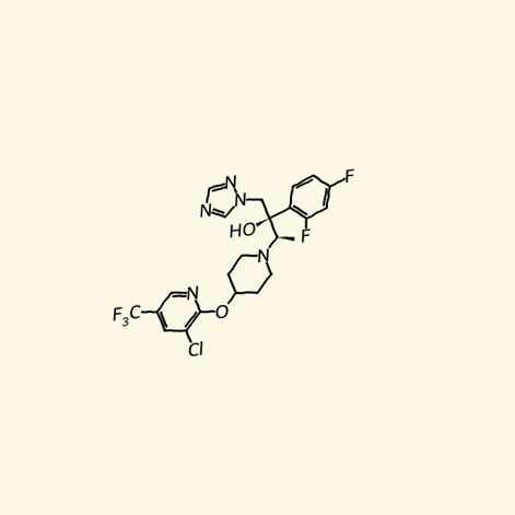 C[C@@H](N1CCC(Oc2ncc(C(F)(F)F)cc2Cl)CC1)[C@](O)(Cn1cncn1)c1ccc(F)cc1F